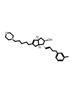 Cc1cccc(CC/C=C/[C@@H]2[C@H]3CC(CCCCCN4CCOCC4)=C[C@H]3C[C@H]2O)c1